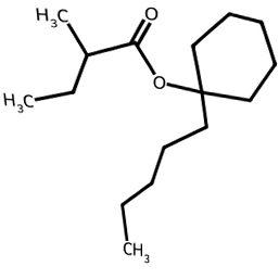 CCCCCC1(OC(=O)C(C)CC)CCCCC1